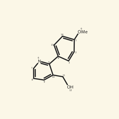 COc1ccc(-c2ncccc2CO)cc1